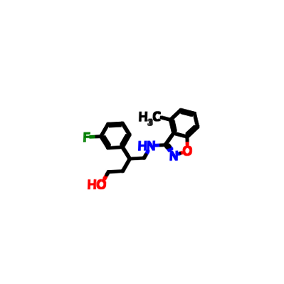 Cc1cccc2onc(NCC(CCO)c3cccc(F)c3)c12